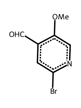 COc1cnc(Br)cc1C=O